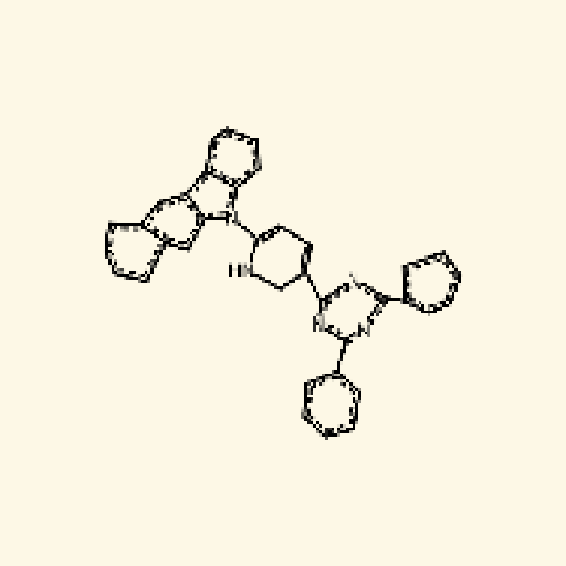 C1=C(c2nc(-c3ccccc3)nc(-c3ccccc3)n2)CNC(n2c3ccccc3c3cc4ccccc4cc32)=C1